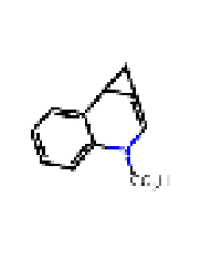 O=C(O)N1C=C2CC2c2ccccc21